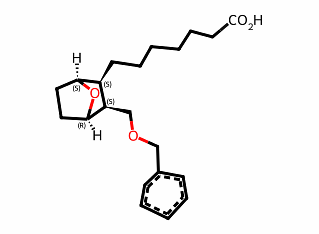 O=C(O)CCCCCC[C@H]1[C@@H](COCc2ccccc2)[C@H]2CC[C@@H]1O2